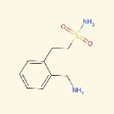 NCc1ccccc1CCS(N)(=O)=O